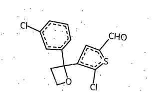 O=Cc1cc(C2(c3cccc(Cl)c3)CCO2)c(Cl)s1